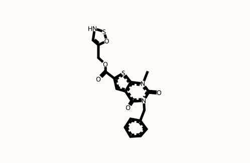 Cn1c(=O)n(Cc2ccccc2)c(=O)c2cc(C(=O)OCC3=CNSO3)sc21